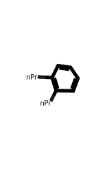 CCCc1[c]cccc1CCC